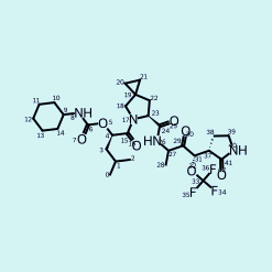 CC(C)C[C@@H](OC(=O)NC1CCCCC1)C(=O)N1CC2(CC2)C[C@H]1C(=O)NC(C)C(=O)[C@@H](OC(F)(F)F)[C@@H]1CCNC1=O